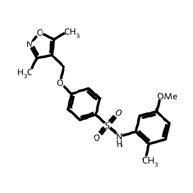 COc1ccc(C)c(NS(=O)(=O)c2ccc(OCc3c(C)noc3C)cc2)c1